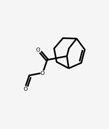 O=COC(=O)C1CC2C=CC1CCC2